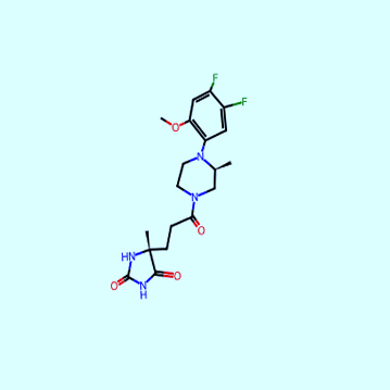 COc1cc(F)c(F)cc1N1CCN(C(=O)CC[C@@]2(C)NC(=O)NC2=O)C[C@@H]1C